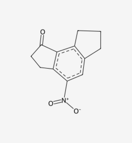 O=C1CCc2c([N+](=O)[O-])cc3c(c21)CCC3